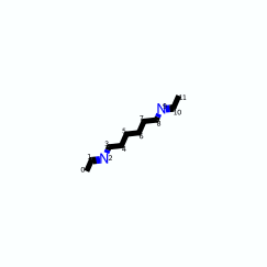 CC=NCCCCCCN=CC